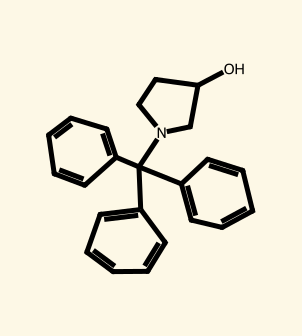 OC1CCN(C(c2ccccc2)(c2ccccc2)c2ccccc2)C1